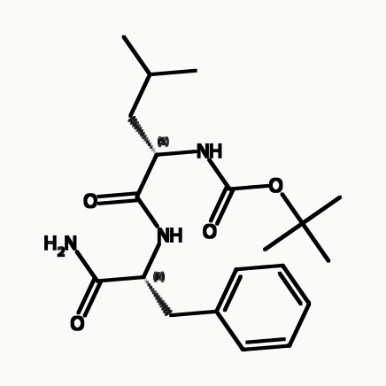 CC(C)C[C@H](NC(=O)OC(C)(C)C)C(=O)N[C@H](Cc1ccccc1)C(N)=O